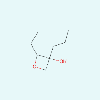 CCCC1(O)COC1CC